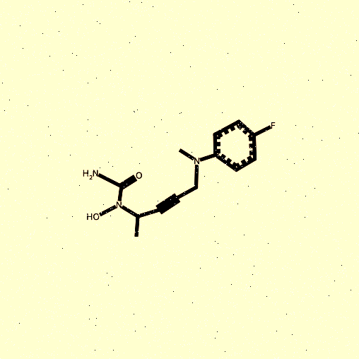 CC(C#CCN(C)c1ccc(F)cc1)N(O)C(N)=O